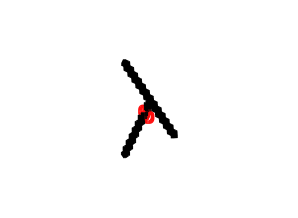 CCCCCCCCCCCCCCC(CCCCCCCCCCCC)CCOC(=O)CCCCCCCCCCCCC